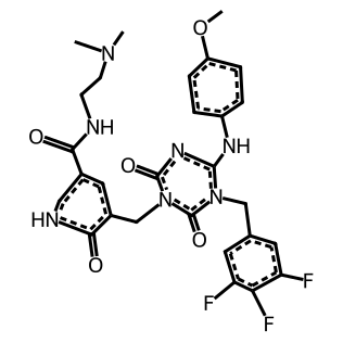 COc1ccc(Nc2nc(=O)n(Cc3cc(C(=O)NCCN(C)C)c[nH]c3=O)c(=O)n2Cc2cc(F)c(F)c(F)c2)cc1